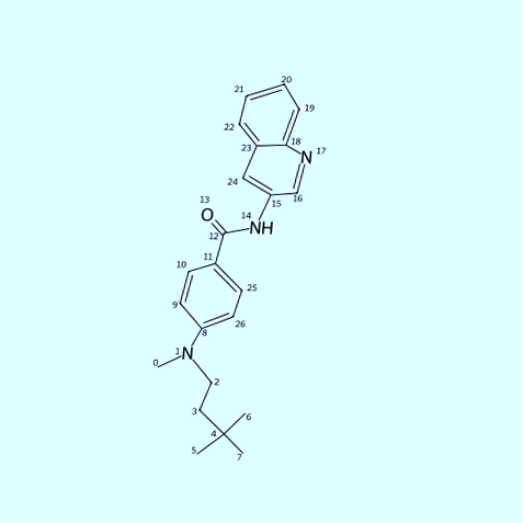 CN(CCC(C)(C)C)c1ccc(C(=O)Nc2cnc3ccccc3c2)cc1